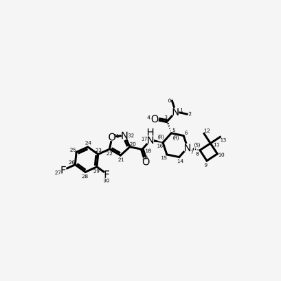 CN(C)C(=O)[C@@H]1CN([C@H]2CCC2(C)C)CC[C@H]1NC(=O)c1cc(-c2ccc(F)cc2F)on1